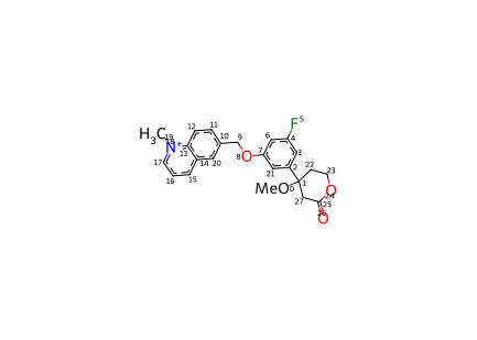 COC1(c2cc(F)cc(OCc3ccc4c(ccc[n+]4C)c3)c2)CCOC(=O)C1